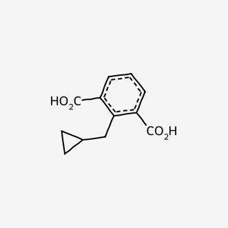 O=C(O)c1cccc(C(=O)O)c1CC1CC1